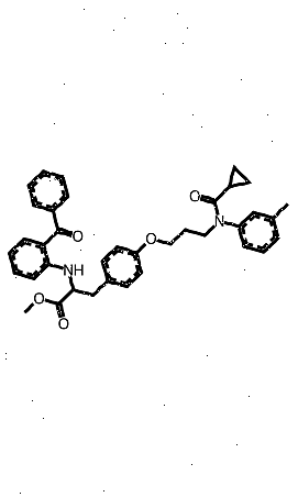 COC(=O)C(Cc1ccc(OCCCN(C(=O)C2CC2)c2cccc(C)c2)cc1)Nc1ccccc1C(=O)c1ccccc1